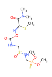 COP(=S)(CN[S+]([O-])CNC(=O)ON=C(SC)C(=O)N(C)C)OC